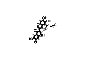 C#CCOC(=O)c1c(O)c(O)cc2occ(-c3c[nH]c4cc(O)c(O)cc4c3=O)c(=O)c12